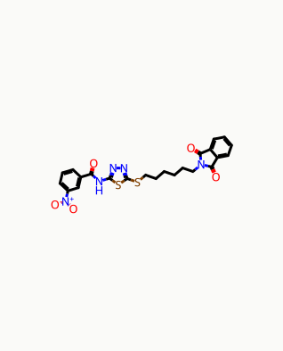 O=C(Nc1nnc(SCCCCCCN2C(=O)c3ccccc3C2=O)s1)c1cccc([N+](=O)[O-])c1